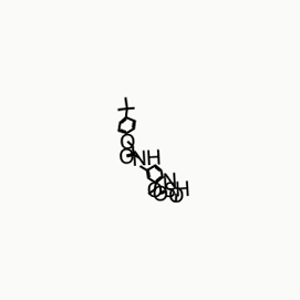 COc1cc(CNC(=O)COc2ccc(C(C)(C)C)cc2)ccc1N=[SH](=O)OC